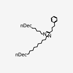 CCCCCCCCCCCCCCCCCCCc1nc(CCCc2ccccc2)cn1CCCCCCCCCCCCCCC